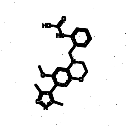 COc1cc2c(cc1-c1c(C)noc1C)OCCN2Cc1ccccc1NC(=O)O